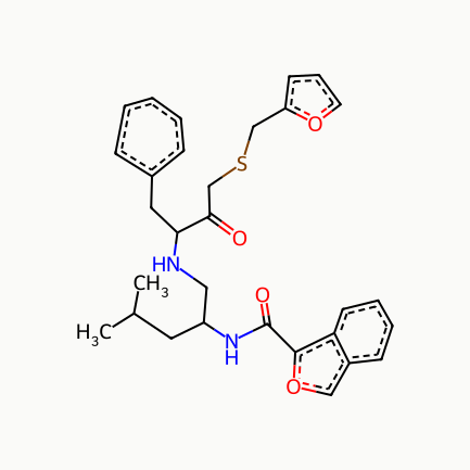 CC(C)CC(CNC(Cc1ccccc1)C(=O)CSCc1ccco1)NC(=O)c1occ2ccccc12